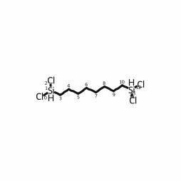 Cl[SiH](Cl)CCCCCCCC[SiH](Cl)Cl